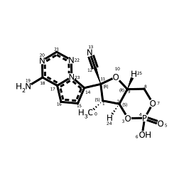 C[C@H]1[C@@H]2OP(=O)(O)OC[C@H]2O[C@@]1(C#N)c1ccc2c(N)ncnn12